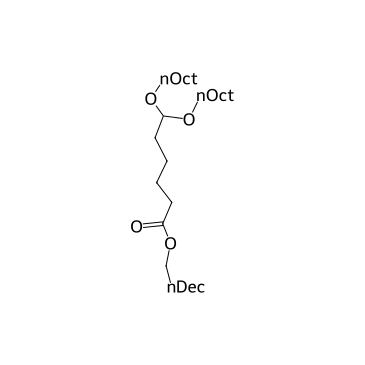 CCCCCCCCCCCOC(=O)CCCCC(OCCCCCCCC)OCCCCCCCC